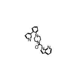 O=C(Cn1ccc2cccnc21)N1CCN(c2ccccc2-c2cccnc2)CC1